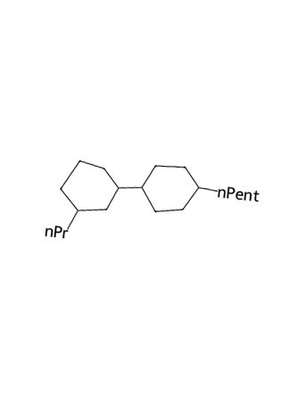 CCCCCC1CCC(C2CCCC(CCC)C2)CC1